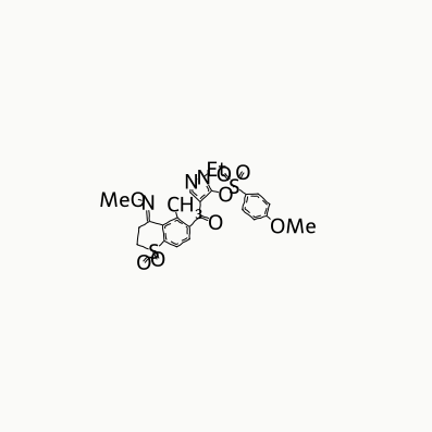 CCn1ncc(C(=O)c2ccc3c(c2C)C(=NOC)CCS3(=O)=O)c1OS(=O)(=O)c1ccc(OC)cc1